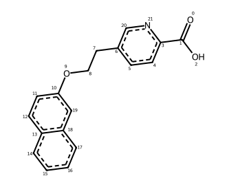 O=C(O)c1ccc(CCOc2ccc3ccccc3c2)cn1